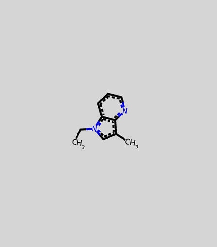 CCn1cc(C)c2ncccc21